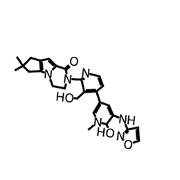 CN1C=C(c2ccnc(N3CCn4c(cc5c4CC(C)(C)C5)C3=O)c2CO)C=C(Nc2ccon2)C1O